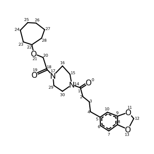 O=C(CCCc1ccc2c(c1)OCO2)N1CCN(C(=O)COC2CCCCCC2)CC1